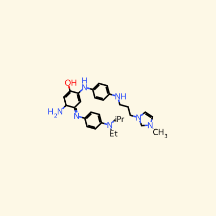 CCN(c1ccc(N=C2C=C(Nc3ccc(NCCCN4C=CN(C)C4)cc3)C(O)=CC2N)cc1)C(C)C